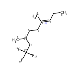 CC/C=C(\C)CCN(C)CC(F)(F)F